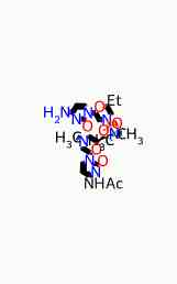 CC[C@@H]1CN([P@](=O)(OC[C@@H]2CN(C)CC(n3ccc(NC(C)=O)nc3=O)O2)N(C)C)CC(n2ccc(N)nc2=O)O1